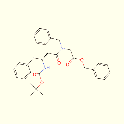 CC(C)(C)OC(=O)N[C@H](CC(=O)N(CC(=O)OCc1ccccc1)Cc1ccccc1)Cc1ccccc1